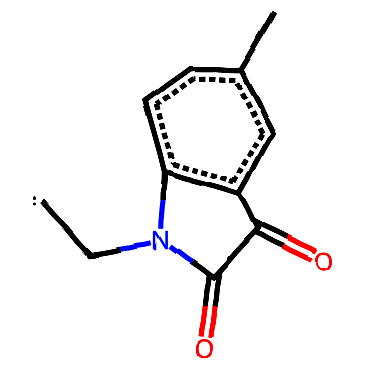 [CH]CN1C(=O)C(=O)c2cc(C)ccc21